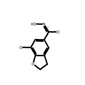 O/N=C(/Cl)c1cc(Cl)c2c(c1)CCO2